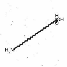 NCCCCCCCCCCCCCCCCCCCCCCCCCCCCCCCCC(=O)NO